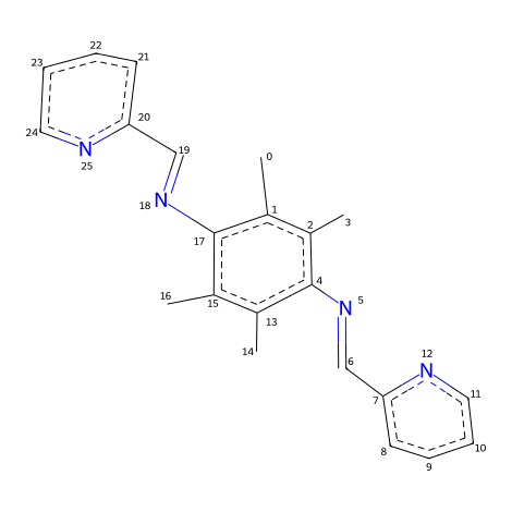 Cc1c(C)c(N=Cc2ccccn2)c(C)c(C)c1N=Cc1ccccn1